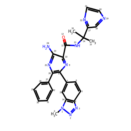 Cn1nnc2ccc(-c3nc(C(=O)NC(C)(C)c4cnccn4)c(N)nc3-c3ccccc3)cc21